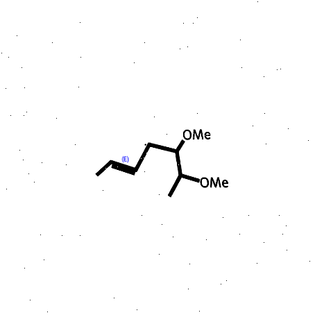 C/C=C/[CH]C(OC)C(C)OC